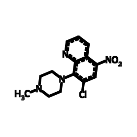 CN1CCN(c2c(Cl)cc([N+](=O)[O-])c3cccnc23)CC1